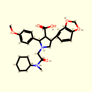 COc1ccc(C2C(C(=O)O)C(c3ccc4c(c3)OCO4)CN2CC(=O)N(C)C2CCCCC2)cc1